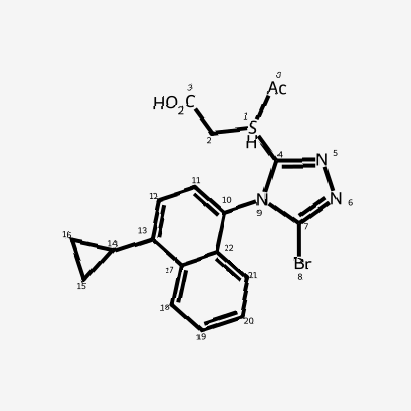 CC(=O)[SH](CC(=O)O)c1nnc(Br)n1-c1ccc(C2CC2)c2ccccc12